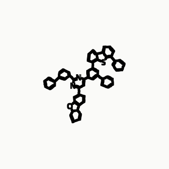 C1=CC2Oc3cc(-c4cc(-c5cc(-c6ccccc6)cc(-c6cccc7c6sc6c(-c8ccccc8)cccc67)c5)nc(-c5cccc(-c6ccccc6)c5)n4)ccc3C2C=C1